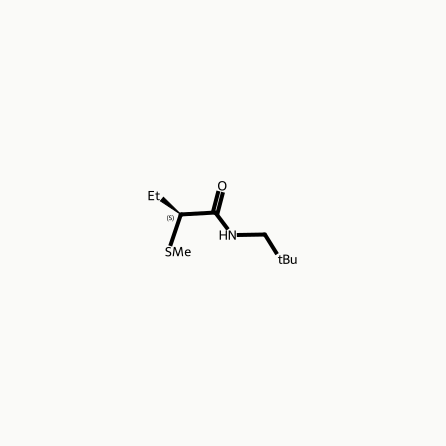 CC[C@H](SC)C(=O)NCC(C)(C)C